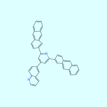 c1ccc2cc3cc(-c4cc(-c5ccc6ncccc6c5)cc(-c5ccc6cc7ccccc7cc6c5)n4)ccc3cc2c1